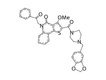 COc1c(C(=O)N2CCN(Cc3ccc4c(c3)OCO4)CC2)sc2c1c(=O)n(CC(=O)c1ccccc1)c1ccccc21